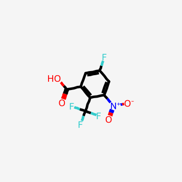 O=C(O)c1cc(F)cc([N+](=O)[O-])c1C(F)(F)F